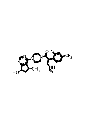 CC(C)NCC(C(=O)N1CCN(c2ncnc3c2[C@H](C)C[C@H]3O)CC1)c1ccc(C(F)(F)F)cc1F